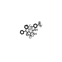 COc1ccc([N+](=O)[O-])cc1NC(=O)N(S)C(NC(=O)C(c1ccccc1)c1ccccc1)C(Cl)(Cl)Cl